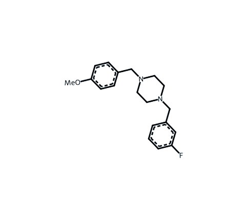 COc1ccc(CN2CCN(Cc3cccc(F)c3)CC2)cc1